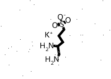 NCC(N)CCCS(=O)(=O)[O-].[K+]